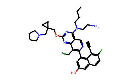 C#Cc1c(F)ccc2cc(O)cc(-c3ncc4c(N(CCN)CCCC)nc(OCC5(CN6CCCC6)CC5)nc4c3CF)c12